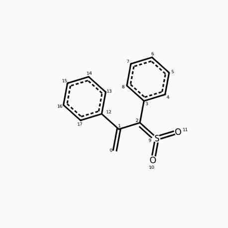 C=C(C(c1ccccc1)=S(=O)=O)c1ccccc1